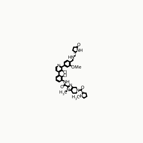 COc1cc(-c2nccc(-c3cccc(NC(=O)c4nc5c(n4C)CCN(C(=O)[C@H]4CCCN4C)C5)c3Cl)c2Cl)ccc1CNC[C@@H]1CCC(=O)N1